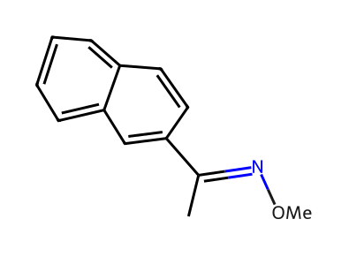 CON=C(C)c1ccc2ccccc2c1